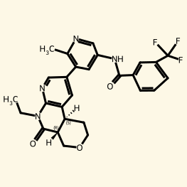 CCN1C(=O)[C@H]2COCC[C@@H]2c2cc(-c3cc(NC(=O)c4cccc(C(F)(F)F)c4)cnc3C)cnc21